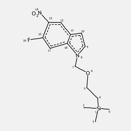 C[Si](C)(C)CCOCn1ccc2cc([N+](=O)[O-])c(F)cc21